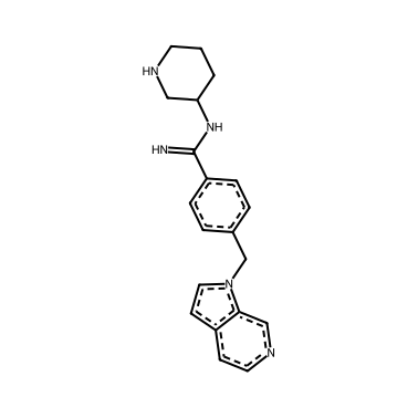 N=C(NC1CCCNC1)c1ccc(Cn2ccc3ccncc32)cc1